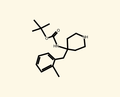 Cc1ccccc1CC1(NC(=O)OC(C)(C)C)CCNCC1